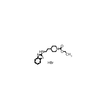 Br.CCOC(=O)N1CCC(CCNc2nc3ccccc3s2)CC1